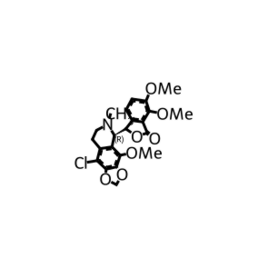 COc1ccc2c(c1OC)C(=O)OC2[C@H]1c2c(c(Cl)c3c(c2OC)OCO3)CCN1C